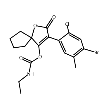 CCNC(=O)OC1=C(c2cc(C)c(Br)cc2Cl)C(=O)OC12CCCC2